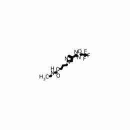 CCNC(=O)OCCCn1cc(-c2noc(C(F)(F)F)n2)cn1